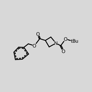 CC(C)(C)OC(=O)N1CC(C(=O)OCc2ccccc2)C1